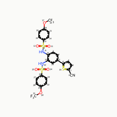 N#Cc1ccc(-c2ccc(NS(=O)(=O)c3ccc(OC(F)(F)F)cc3)c(NS(=O)(=O)c3ccc(OC(F)(F)F)cc3)c2)s1